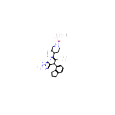 CC(C)(C)OC(=O)N1CCC(C2=C(C#N)C(c3cccc4c3CCC4)c3c[nH]nc3N2)CC1